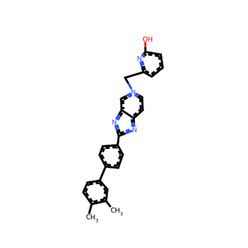 Cc1ccc(-c2ccc(-c3nc4ccn(Cc5cccc(O)n5)cc-4n3)cc2)cc1C